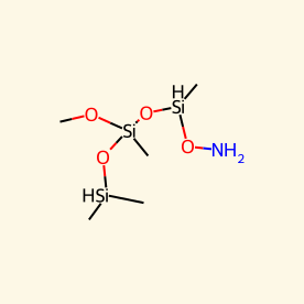 CO[Si](C)(O[SiH](C)C)O[SiH](C)ON